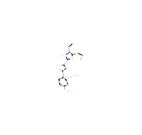 C=Cc1[nH]c(-c2cc(-c3ccc(OC)cc3OC)n[nH]2)nc1/C=C\C